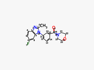 Cc1nc2ccc(F)cc2n1-c1cccc(C(=O)N2CCOCC2)c1